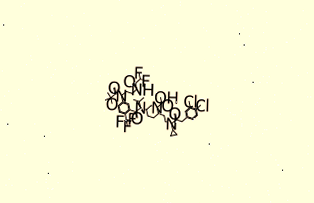 CC(C)N(C(=O)c1cc2c(cc1C(F)(F)F)OC(C)(C)C(=O)N2CCNC(=O)C(F)F)[C@@H]1CC[C@H](CCN(C(=O)Cc2ccc(Cl)c(Cl)c2)C2CC2)N(C(=O)O)C1